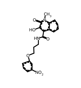 Cn1c(=O)c(O)c(C(=O)NCCCOc2cccc([N+](=O)[O-])c2)c2ccccc21